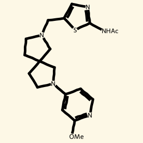 COc1cc(N2CCC3(CCN(Cc4cnc(NC(C)=O)s4)C3)C2)ccn1